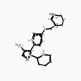 Cc1cnn(C2CCCCO2)c1-c1ccc(OC[C@@H]2CCCNC2)cn1